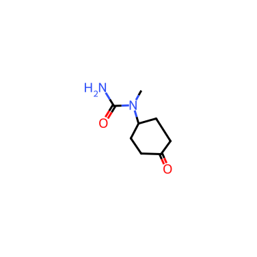 CN(C(N)=O)C1CCC(=O)CC1